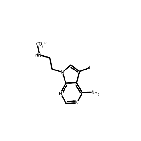 Nc1ncnc2c1c(I)cn2CCNC(=O)O